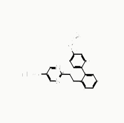 CCCCCCc1cnc(CCc2ccccc2-c2ccc(N=C=S)cc2)nc1